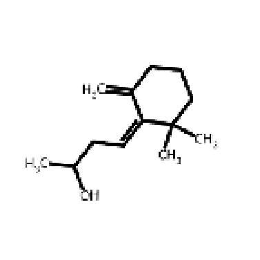 C=C1CCCC(C)(C)C1=CCC(C)O